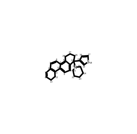 C1=Cc2ccc3c4c(ccc3c2CC1)C(c1ccsc1)(N1CCCCC1)CCC4